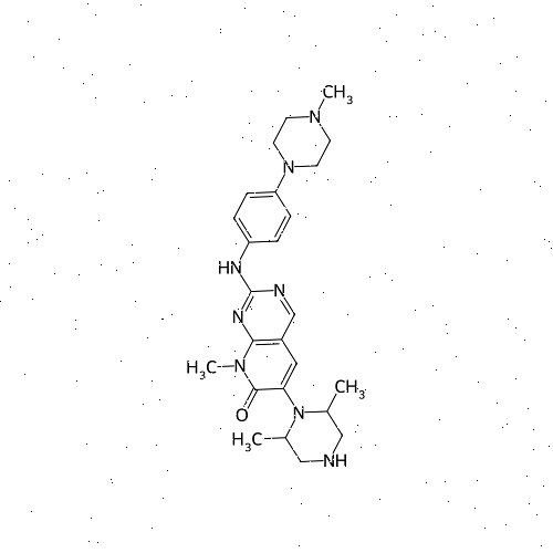 CC1CNCC(C)N1c1cc2cnc(Nc3ccc(N4CCN(C)CC4)cc3)nc2n(C)c1=O